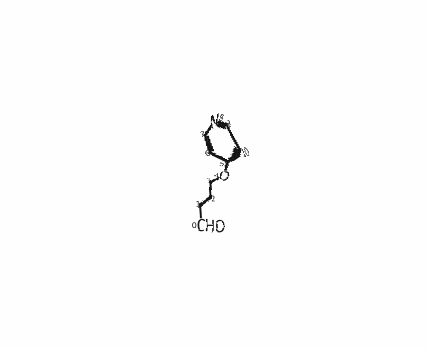 O=CCCCOc1ccncc1